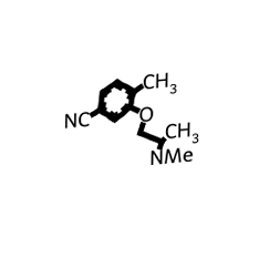 CNC(C)COc1cc(C#N)ccc1C